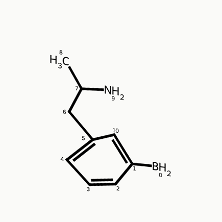 Bc1cccc(CC(C)N)c1